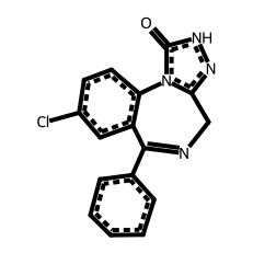 O=c1[nH]nc2n1-c1ccc(Cl)cc1C(c1ccccc1)=NC2